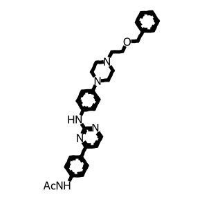 CC(=O)Nc1ccc(-c2ccnc(Nc3ccc(N4CCN(CCOCc5ccccc5)CC4)cc3)n2)cc1